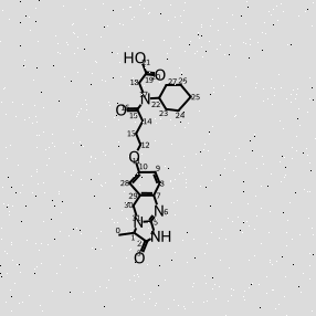 CC1C(=O)NC2=Nc3ccc(OCCCC(=O)N(CC(=O)O)C4CCCCC4)cc3CN21